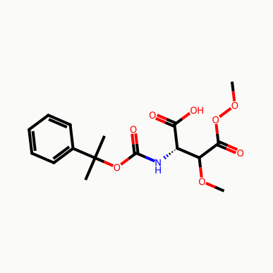 COOC(=O)C(OC)[C@H](NC(=O)OC(C)(C)c1ccccc1)C(=O)O